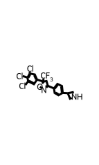 FC(F)(F)C1(c2cc(Cl)c(Cl)c(Cl)c2)CC(c2ccc(C3CNC3)cc2)=NO1